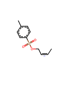 C/C=C\COS(=O)(=O)c1ccc(C)cc1